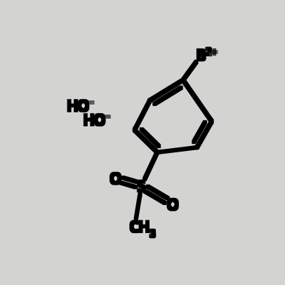 [B+2]c1ccc(S(C)(=O)=O)cc1.[OH-].[OH-]